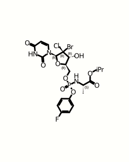 CC(C)OC(=O)[C@H](C)NP(=O)(OC[C@H]1O[C@@H](n2ccc(=O)[nH]c2=O)[C@](Cl)(Br)[C@@H]1O)Oc1ccc(F)cc1